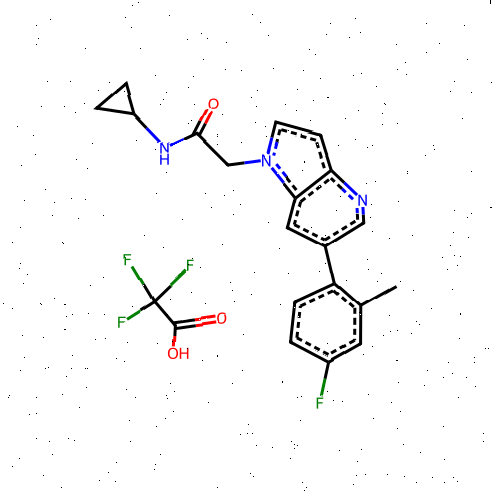 Cc1cc(F)ccc1-c1cnc2ccn(CC(=O)NC3CC3)c2c1.O=C(O)C(F)(F)F